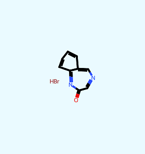 Br.O=c1cncc2ccccc2n1